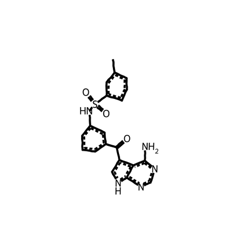 Cc1cccc(S(=O)(=O)Nc2cccc(C(=O)c3c[nH]c4ncnc(N)c34)c2)c1